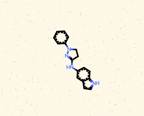 c1ccc(N2CCC(Nc3ccc4[nH]ccc4c3)=N2)cc1